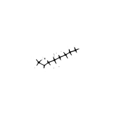 Br[C](C(Br)(Br)Br)C(Br)(Br)C(Br)(Br)C(Br)(Br)C(Br)(Br)C(Br)(Br)C(Br)(Br)Br